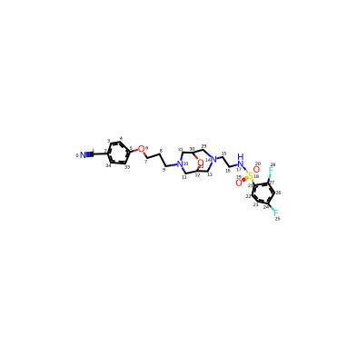 N#Cc1ccc(OCCCN2CC3CN(CCNS(=O)(=O)c4ccc(F)cc4F)CC(C2)O3)cc1